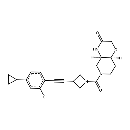 O=C1CO[C@H]2CCN(C(=O)N3CC(C#Cc4ccc(C5CC5)cc4Cl)C3)C[C@H]2N1